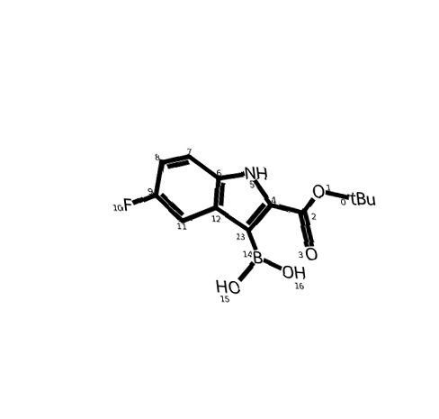 CC(C)(C)OC(=O)c1[nH]c2ccc(F)cc2c1B(O)O